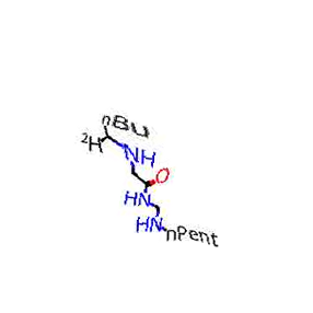 [2H][C@@H](CCCC)NCC(=O)NCNCCCCC